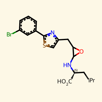 CC(C)C[C@H](NC1OC1Cc1csc(-c2cccc(Br)c2)n1)C(=O)O